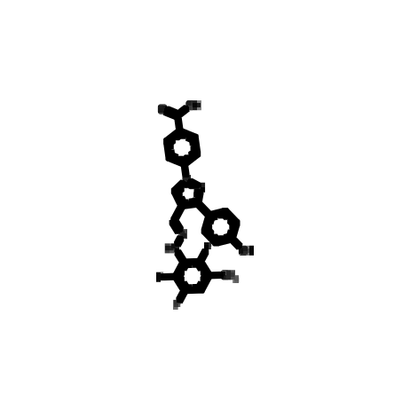 Cc1cc(F)c(F)c(N/N=C/c2cn(-c3ccc(C(=O)O)cc3)nc2-c2ccc(O)cc2)c1F